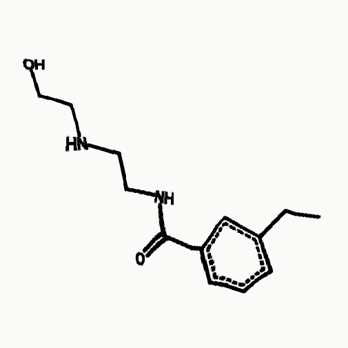 CCc1cccc(C(=O)NCCNCCO)c1